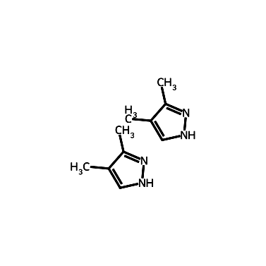 Cc1c[nH]nc1C.Cc1c[nH]nc1C